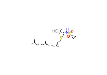 CC(C)=CCC/C(C)=C/CC/C(C)=C/CSC[C@H](NS(=O)(=O)C1CC1)C(=O)O